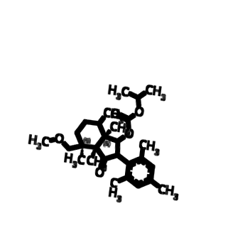 COC[C@@]1(C)CCC(C)[C@]2(C)C(OC(=O)OC(C)C)C(c3c(C)cc(C)cc3C)C(=O)[C@]12C